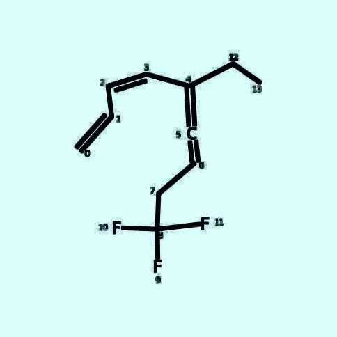 C=C/C=C\C(=C=CCC(F)(F)F)CC